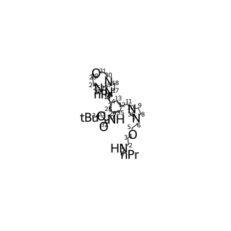 CCCNCCOCCN1CCN(Cc2cc(CN3CCN4CCOCCN(CCC)C43)cc(NC(=O)OC(C)(C)C)c2)C1